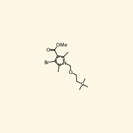 COC(=O)c1c(Br)c(C)n(COCC[Si](C)(C)C)c1C